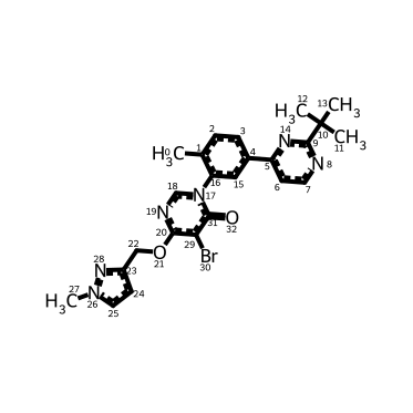 Cc1ccc(-c2ccnc(C(C)(C)C)n2)cc1-n1cnc(OCc2ccn(C)n2)c(Br)c1=O